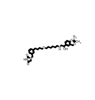 CC1(C)OCc2cc([C@@H](O)CNCCCCCCOCCCCc3cccc(CN4CC(=O)NC4=O)c3)ccc2O1